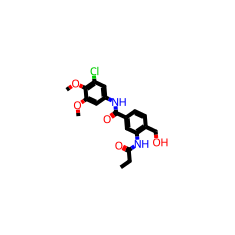 CCC(=O)Nc1cc(C(=O)Nc2cc(Cl)c(OC)c(OC)c2)ccc1CO